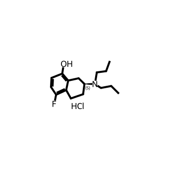 CCCN(CCC)[C@H]1CCc2c(F)ccc(O)c2C1.Cl